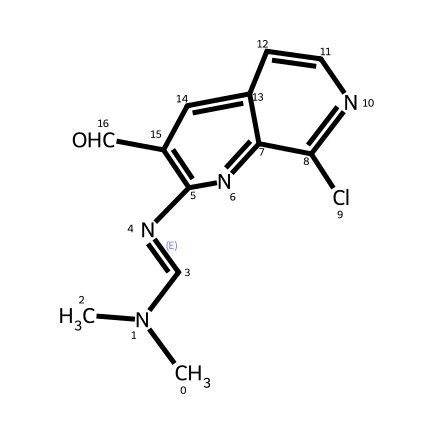 CN(C)/C=N/c1nc2c(Cl)nccc2cc1C=O